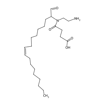 CCCCCCCC/C=C\CCCCCCC(C=O)N(CCN)C(=O)CCC(=O)O